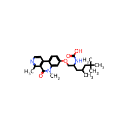 Cc1nccc2c1c(=O)n(C)c1cc(OCC(CC(C)CC(C)(C)C)NC(=O)O)ccc21